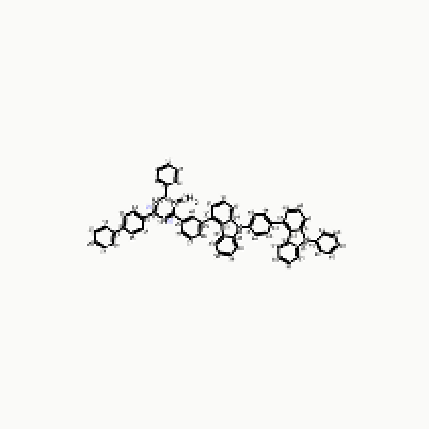 C=N/C(=N\C(=N/Cc1ccccc1)c1ccc(-c2ccccc2)cc1)c1cccc(-c2cccc3c2c2ccccc2n3-c2ccc(-c3cccc4c3c3ccccc3n4-c3ccccc3)cc2)c1